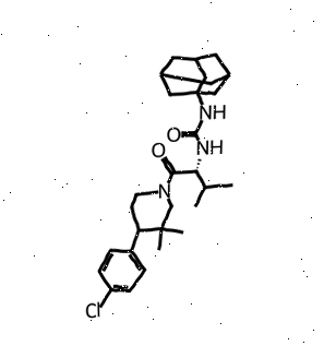 CC(C)[C@@H](NC(=O)NC12CC3CC(CC(C3)C1)C2)C(=O)N1CCC(c2ccc(Cl)cc2)C(C)(C)C1